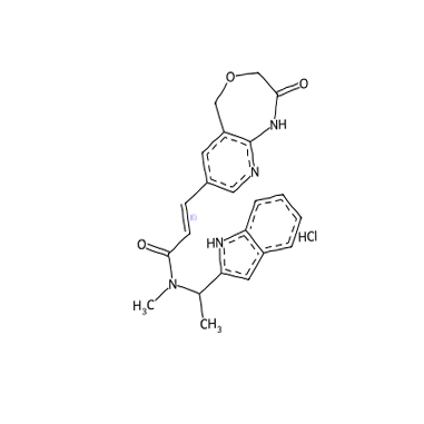 CC(c1cc2ccccc2[nH]1)N(C)C(=O)/C=C/c1cnc2c(c1)COCC(=O)N2.Cl